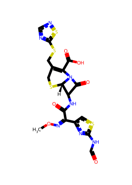 CO/N=C(\C(=O)NC1C(=O)N2C(C(=O)O)=C(CSc3ncns3)CS[C@@H]12)c1csc(NC=O)n1